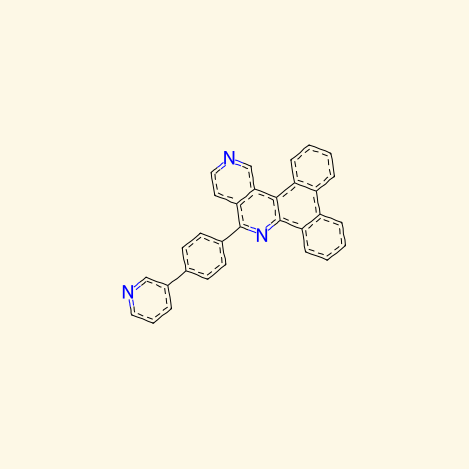 c1cncc(-c2ccc(-c3nc4c5ccccc5c5ccccc5c4c4cnccc34)cc2)c1